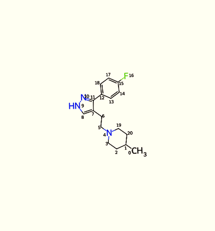 CC1CCN(CCc2c[nH]nc2-c2ccc(F)cc2)CC1